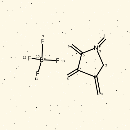 C=C1C[N+](=C)C(=C)C1=C.F[B-](F)(F)F